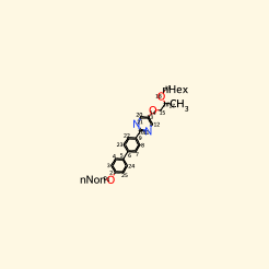 CCCCCCCCCOc1ccc(-c2ccc(-c3ncc(OC[C@H](C)OCCCCCC)cn3)cc2)cc1